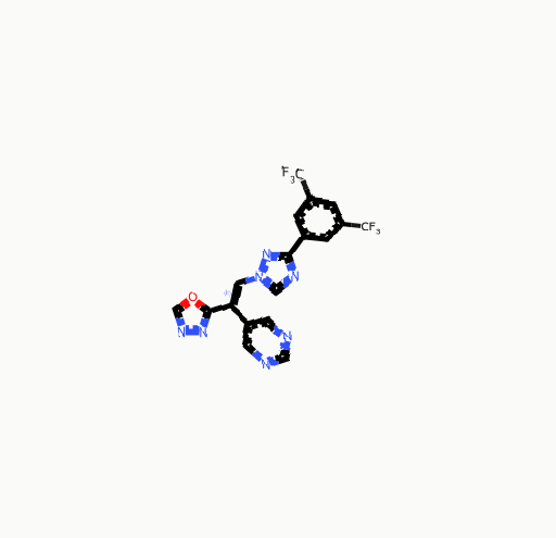 FC(F)(F)c1cc(-c2ncn(/C=C(\c3cncnc3)c3nnco3)n2)cc(C(F)(F)F)c1